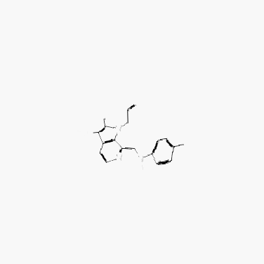 C=CCn1c(C)c(C)c2ccnc(CNc3ccc(F)cc3)c21